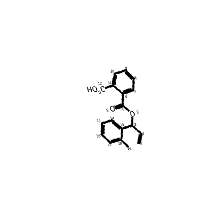 C=CC(OC(=O)c1ccccc1C(=O)O)c1ccccc1C